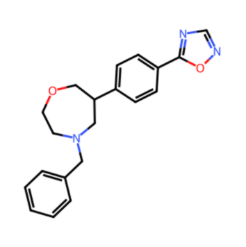 c1ccc(CN2CCOCC(c3ccc(-c4ncno4)cc3)C2)cc1